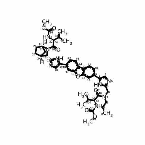 CCCN(Cc1ncc(-c2ccc3c(c2)oc2cc(-c4cnc([C@@H]5[C@H]6CC[C@H](C6)N5C(=O)[C@@H](NC(=O)OC)C(C)C)[nH]4)ccc23)[nH]1)C(=O)[C@@H](NC(=O)OC)C(C)C